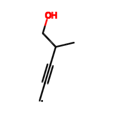 [CH2]C#CC(C)CO